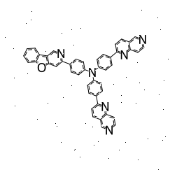 c1ccc2c(c1)oc1cc(-c3ccc(N(c4ccc(-c5ccc6cnccc6n5)cc4)c4ccc(-c5ccc6cnccc6n5)cc4)cc3)ncc12